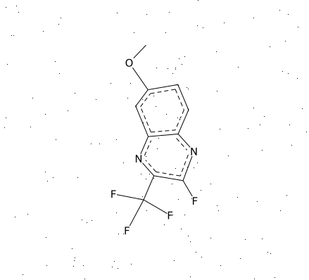 COc1ccc2nc(F)c(C(F)(F)F)nc2c1